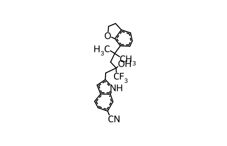 CC(C)(CC(O)(Cc1cc2ccc(C#N)cc2[nH]1)C(F)(F)F)c1cccc2c1OCC2